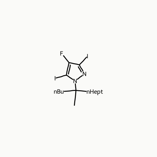 CCCCCCCC(C)(CCCC)n1nc(I)c(F)c1I